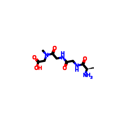 C[C@H](N)C(=O)NCC(=O)NCC(=O)N(C)CC(=O)O